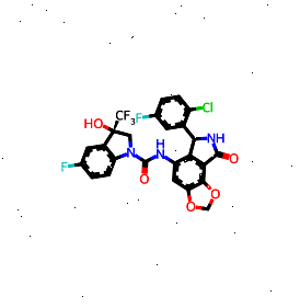 O=C1NC(c2cc(F)ccc2Cl)c2c(NC(=O)N3C[C@](O)(C(F)(F)F)c4cc(F)ccc43)cc3c(c21)OCO3